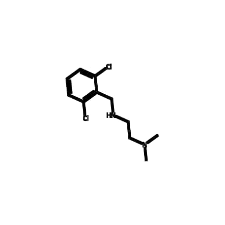 CN(C)CCNCc1c(Cl)cccc1Cl